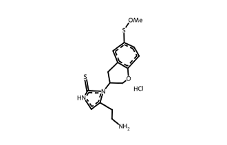 COSc1ccc2c(c1)CC(n1c(CCN)c[nH]c1=S)CO2.Cl